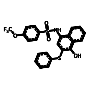 O=S(=O)(Nc1cc(Sc2ccccc2)c(O)c2ccccc12)c1ccc(OC(F)(F)F)cc1